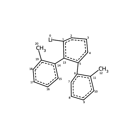 [Li][c]1cccc(-c2ccccc2C)c1-c1ccccc1C